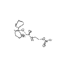 O=C(COC1(c2ccccc2)NCCS1)NCCO[N+](=O)[O-]